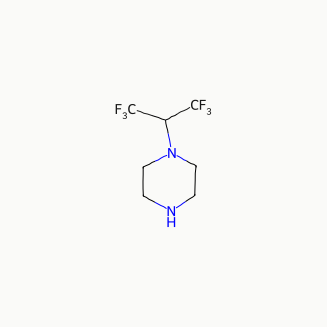 FC(F)(F)C(N1CCNCC1)C(F)(F)F